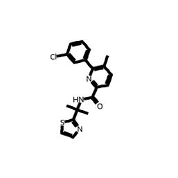 Cc1ccc(C(=O)NC(C)(C)c2nccs2)nc1-c1cccc(Cl)c1